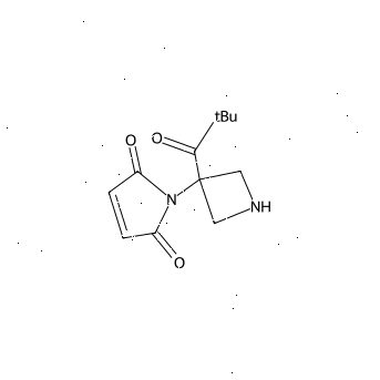 CC(C)(C)C(=O)C1(N2C(=O)C=CC2=O)CNC1